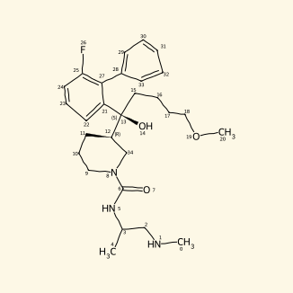 CNCC(C)NC(=O)N1CCC[C@@H]([C@@](O)(CCCCOC)c2cccc(F)c2-c2ccccc2)C1